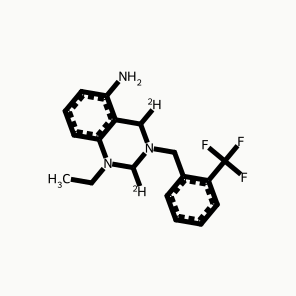 [2H]C1c2c(N)cccc2N(CC)C([2H])N1Cc1ccccc1C(F)(F)F